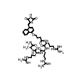 C[C@H](NC(=O)[C@H](CCCNC(=N)N)NC(=O)[C@H](CCCNC(=N)N)NC(=O)[C@H](CCCNC(=N)N)NC(=O)CCCOc1ccc(/C=C2\SC(=O)NC2=O)c2ccccc12)C(N)=O